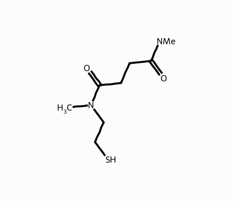 CNC(=O)CCC(=O)N(C)CCS